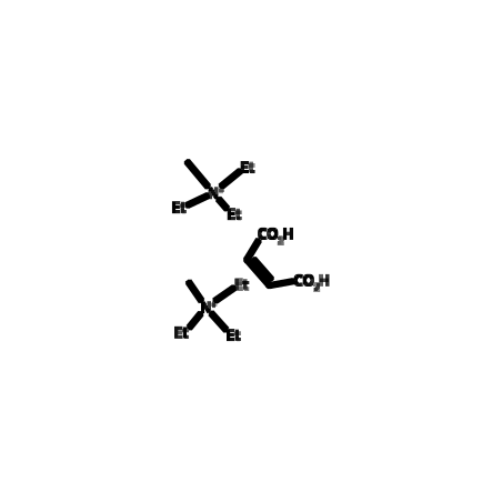 CC[N+](C)(CC)CC.CC[N+](C)(CC)CC.O=C(O)/C=C\C(=O)O